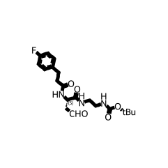 CC(C)(C)OC(=O)NCCNC(=O)[C@H](CC=O)NC(=O)CCc1ccc(F)cc1